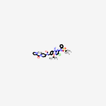 CC(C)Oc1cc(CN(C=O)C2CCN(C(=O)C3CCCN3C)CC2)ccc1Nc1ncc(Cl)c(Nc2ccccc2S(=O)(=O)C(C)C)n1